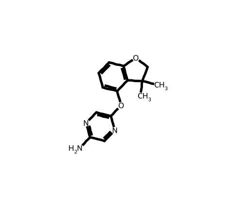 CC1(C)COc2cccc(Oc3cnc(N)cn3)c21